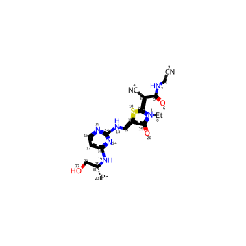 CCn1c(=C(C#N)C(=O)NCC#N)sc(=CNc2nccc(N[C@@H](CO)C(C)C)n2)c1=O